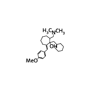 COc1ccc(C=C2CCCCC(CN(C)C)C2(O)CC2CCCCC2)cc1